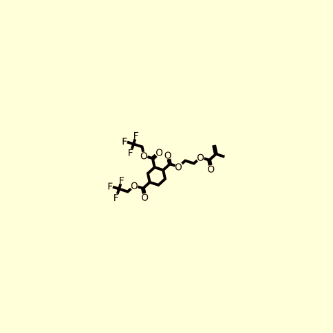 C=C(C)C(=O)OCCOC(=O)C1CCC(C(=O)OCC(F)(F)F)CC1C(=O)OCC(F)(F)F